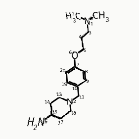 CN(C)CCCOc1ccc(CN2CCC(N)CC2)cc1